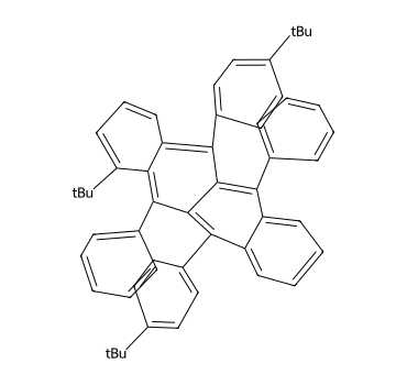 CC(C)(C)c1ccc(-c2c3ccccc3c(-c3ccccc3)c3c(-c4ccc(C(C)(C)C)cc4)c4cccc(C(C)(C)C)c4c(-c4ccccc4)c23)cc1